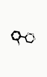 Fc1ccccc1C1CCOOO1